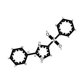 O=S(=O)(c1ccccc1)c1[c]oc(-c2ccccc2)n1